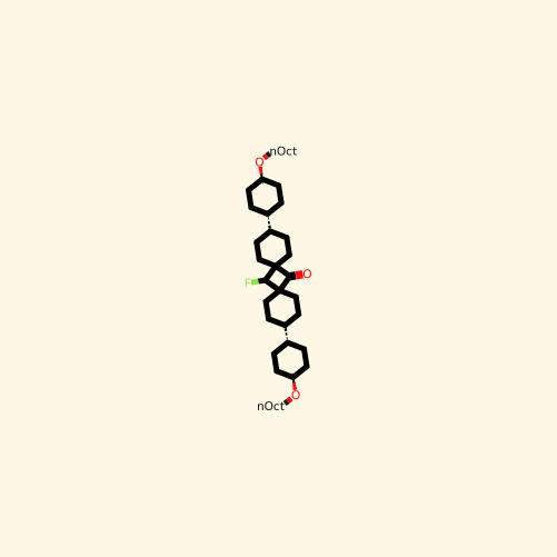 CCCCCCCCO[C@H]1CC[C@H](C2CCC3(CC2)C(=O)C2(CCC([C@H]4CC[C@H](OCCCCCCCC)CC4)CC2)C3F)CC1